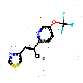 C/C(=C\c1cscn1)c1ccc(OC(F)(F)F)cn1